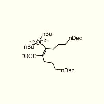 CCCCCCCCCCCCCC(C(=O)[O-])=C(CCCCCCCCCCCCC)C(=O)[O-].CCC[CH2][Sn+2][CH2]CCC